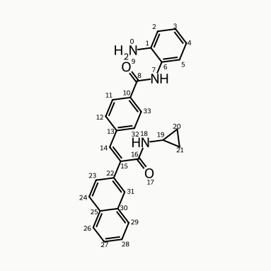 Nc1ccccc1NC(=O)c1ccc(/C=C(\C(=O)NC2CC2)c2ccc3ccccc3c2)cc1